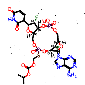 CC(C)OC(=O)OCSP1(=O)OC[C@H]2OC(C3C=CC(=O)NC3=O)[C@H](F)[C@@H]2OP(=O)(O)OC[C@H]2O[C@@H](n3cnc4c(N)ncnc43)[C@H](O1)[C@@H]2F